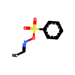 N#CC=NOS(=O)(=O)c1ccccc1